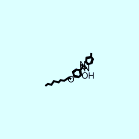 CCCCCCCCOc1ccc(-n2nc3ccc(C)cc3n2)c(O)c1